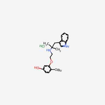 CC(C)COc1ccc(O)cc1OCCNC(C)(C)Cc1c[nH]c2ccccc12.Cl